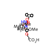 COc1cc(OCCCCC(=O)O)cc(OC)c1CN(C(=O)[C@H](CC(C)C)NC(=O)OCC1c2ccccc2-c2ccccc21)C(CC(F)(F)F)C(OC)OC